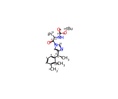 [CH2]c1cccc([C@H](C)c2cn(C(=O)C(NC(=O)OC(C)(C)C)C(C)C)cn2)c1C